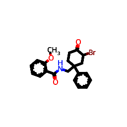 COc1ccccc1C(=O)NCC1(c2ccccc2)CCC(=O)C(Br)C1